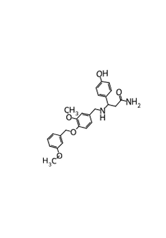 COc1cccc(COc2ccc(CNC(CC(N)=O)c3ccc(O)cc3)cc2OC)c1